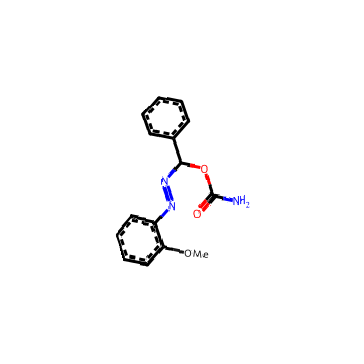 COc1ccccc1N=NC(OC(N)=O)c1ccccc1